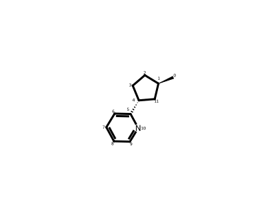 C[C@@H]1CC[C@@H](c2ccccn2)C1